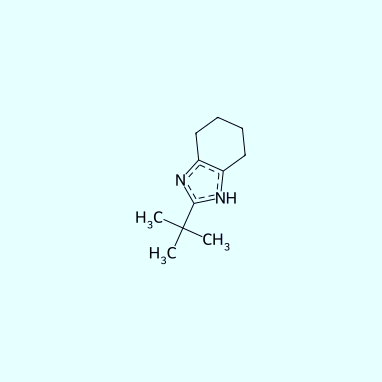 CC(C)(C)c1nc2c([nH]1)CCCC2